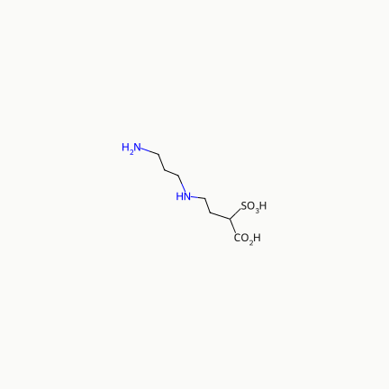 NCCCNCCC(C(=O)O)S(=O)(=O)O